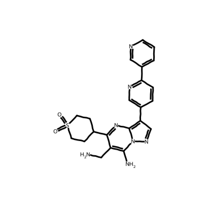 NCc1c(C2CCS(=O)(=O)CC2)nc2c(-c3ccc(-c4cccnc4)nc3)cnn2c1N